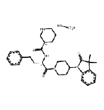 CC1(C)C(=O)N(C2CCN(C(=O)[C@H](CCc3ccccc3)NC(=O)[C@@H]3CCCNC3)CC2)c2ccccc21.O=S(=O)(O)O